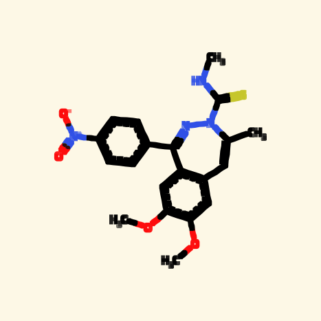 CNC(=S)N1N=C(c2ccc([N+](=O)[O-])cc2)c2cc(OC)c(OC)cc2C=C1C